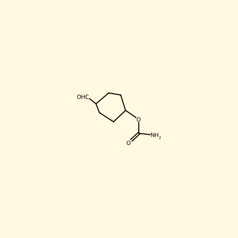 NC(=O)OC1CCC(C=O)CC1